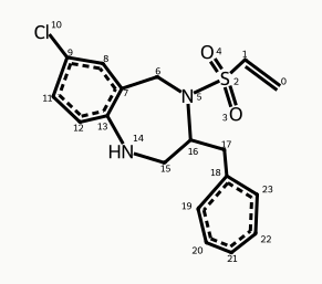 C=CS(=O)(=O)N1Cc2cc(Cl)ccc2NCC1Cc1ccccc1